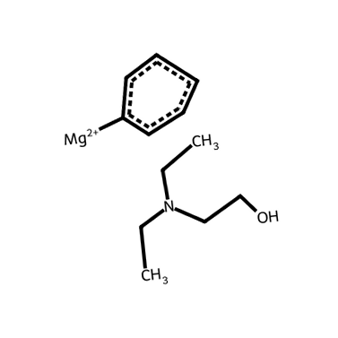 CCN(CC)CCO.[Mg+2][c]1ccccc1